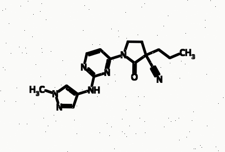 CCCC1(C#N)CCN(c2ccnc(Nc3cnn(C)c3)n2)C1=O